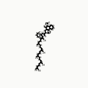 COc1c(C)c(CC=C(C)CC2(C=C(C)CCC=C(C)CCC=C(C)CCC=C(C)CCC=C(C)CCC=C(C)C)SCCCS2)c(OC)c2ccccc12